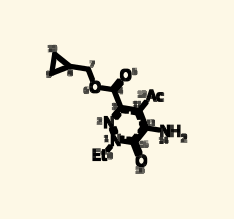 CCn1nc(C(=O)OCC2CC2)c(C(C)=O)c(N)c1=O